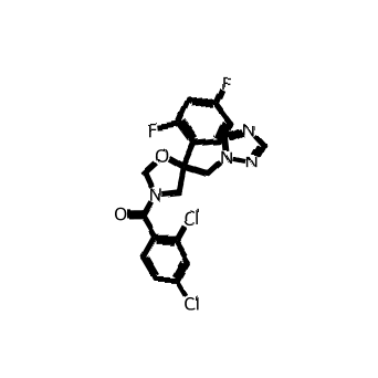 O=C(c1ccc(Cl)cc1Cl)N1COC(Cn2cncn2)(c2ccc(F)cc2F)C1